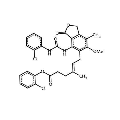 COc1c(C)c2c(c(NC(=O)Nc3ccccc3Cl)c1C/C=C(\C)CCC(=O)Oc1ccccc1Cl)C(=O)OC2